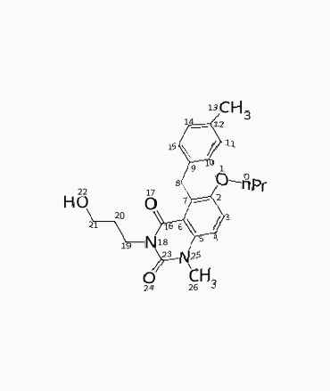 CCCOc1ccc2c(c1Cc1ccc(C)cc1)c(=O)n(CCCO)c(=O)n2C